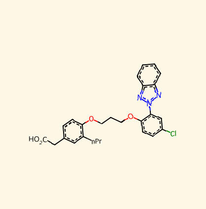 CCCc1cc(CC(=O)O)ccc1OCCCOc1ccc(Cl)cc1-n1nc2ccccc2n1